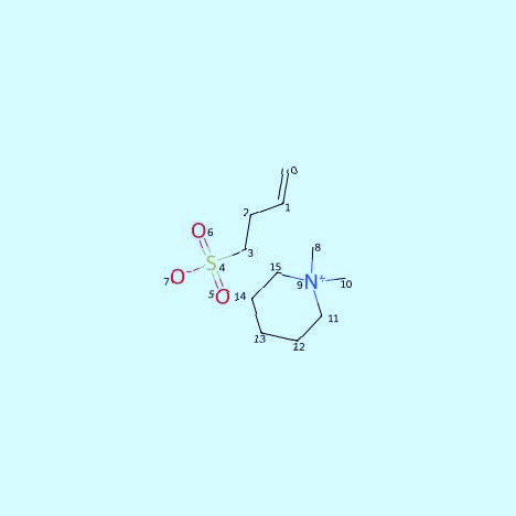 C=CCCS(=O)(=O)[O-].C[N+]1(C)CCCCC1